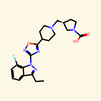 CCc1nn(-c2noc(C3CCN(C[C@H]4CCN(C(=O)O)C4)CC3)n2)c2c(F)cccc12